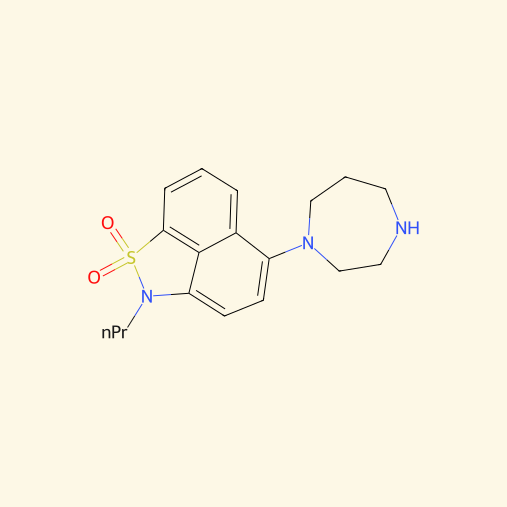 CCCN1c2ccc(N3CCCNCC3)c3cccc(c23)S1(=O)=O